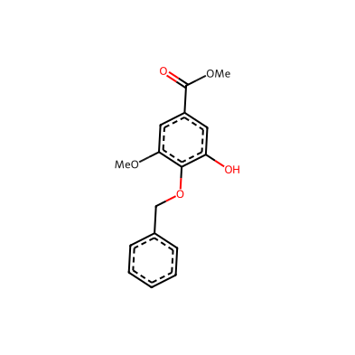 COC(=O)c1cc(O)c(OCc2ccccc2)c(OC)c1